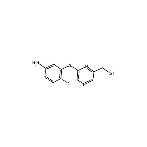 Nc1cc(Sc2cncc(CO)n2)c(Cl)cn1